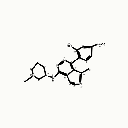 COc1ccc(-c2nnc(N[C@@H]3CCCN(C)C3)c3ccnc(C)c23)c(O)c1